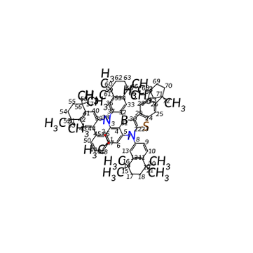 Cc1cc2c3c(c1)N(c1ccc4c(c1)C(C)(C)CCC4(C)C)c1sc4cc5c(cc4c1B3c1cc3c(cc1N2c1cc2c(cc1-c1ccccc1)C(C)(C)CCC2(C)C)C(C)(C)CCC3(C)C)C1(C)CCC5(C)C1